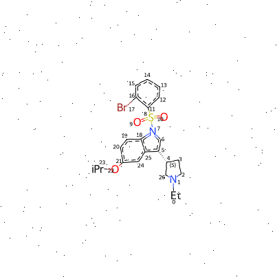 CCN1CC[C@@H](c2cn(S(=O)(=O)c3ccccc3Br)c3ccc(OC(C)C)cc23)C1